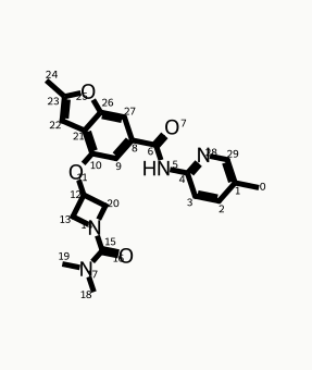 Cc1ccc(NC(=O)c2cc(OC3CN(C(=O)N(C)C)C3)c3cc(C)oc3c2)nc1